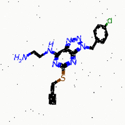 C#CCSc1nc(NCCN)c2nnn(Cc3ccc(Cl)cc3)c2n1